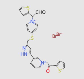 O=CC(c1cccs1)[n+]1ccc(SCc2cc(-c3ccc[n+](CC(=O)c4cccs4)c3)[nH]n2)cc1.[Br-].[Br-]